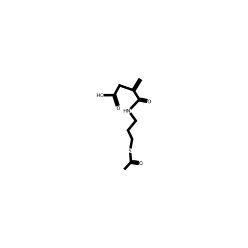 C=C(CC(=O)O)C(=O)NCCCSC(C)=O